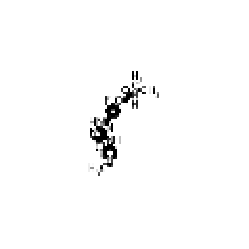 CCN1CCC(Nc2c(Cl)cnc3[nH]c(-c4ccc(OCC(=O)NC(C)C)c(F)c4)nc23)CC1